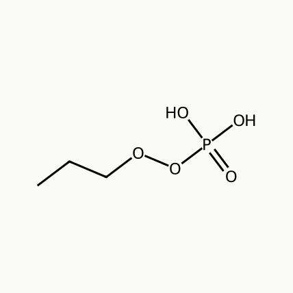 CCCOOP(=O)(O)O